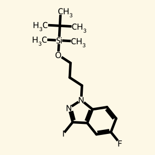 CC(C)(C)[Si](C)(C)OCCCn1nc(I)c2cc(F)ccc21